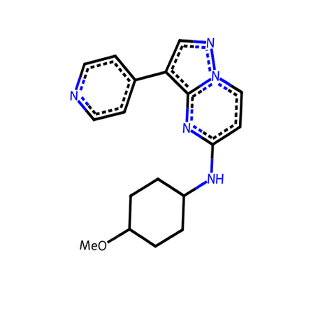 COC1CCC(Nc2ccn3ncc(-c4ccncc4)c3n2)CC1